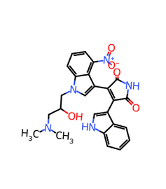 CN(C)CC(O)Cn1cc(C2=C(c3c[nH]c4ccccc34)C(=O)NC2=O)c2c([N+](=O)[O-])cccc21